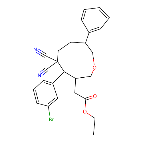 CCOC(=O)CC1COCC(c2ccccc2)CCC(C#N)(C#N)C1c1cccc(Br)c1